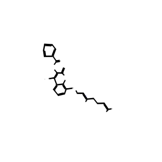 CC(C)=CCC/C(C)=C/COc1cccc2c(O)c(OC(=O)c3ccccc3)c(=O)oc12